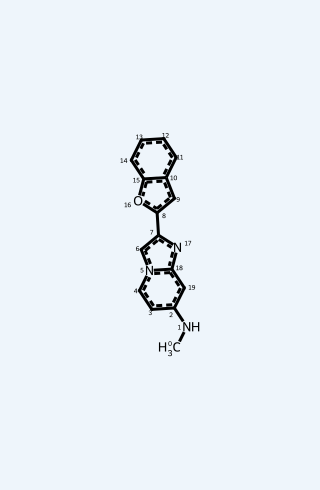 CNc1ccn2cc(-c3cc4ccccc4o3)nc2c1